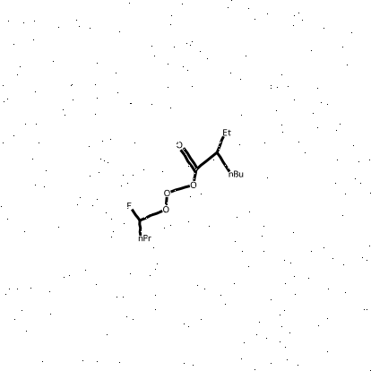 CCCCC(CC)C(=O)OOOC(F)CCC